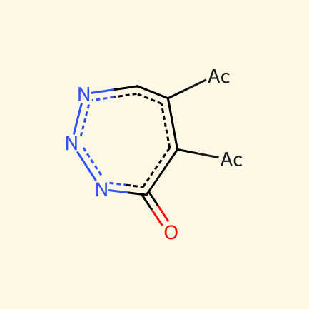 CC(=O)c1cnnnc(=O)c1C(C)=O